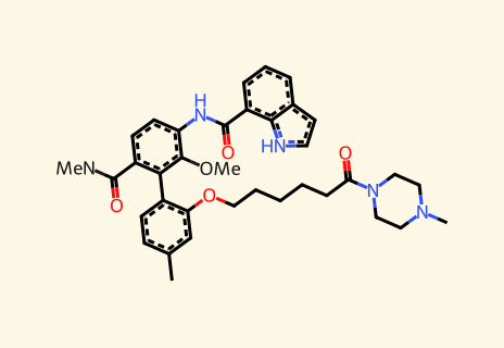 CNC(=O)c1ccc(NC(=O)c2cccc3cc[nH]c23)c(OC)c1-c1ccc(C)cc1OCCCCCC(=O)N1CCN(C)CC1